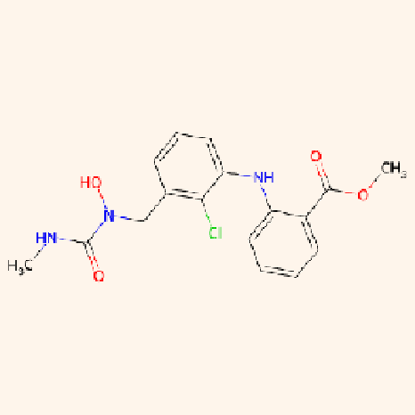 CNC(=O)N(O)Cc1cccc(Nc2ccccc2C(=O)OC)c1Cl